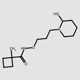 CC1(C(=O)NOCCCN2CCCCC2O)CCC1